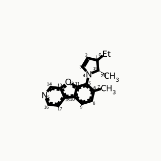 CCC1C=CN(c2c(C)ccc3c2oc2cnccc23)[C@H]1C